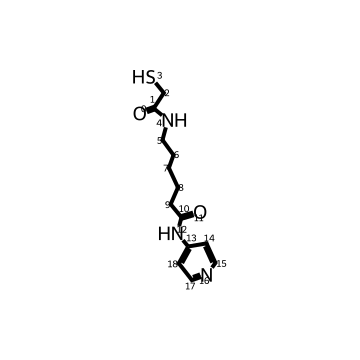 O=C(CS)NCCCCCC(=O)Nc1ccncc1